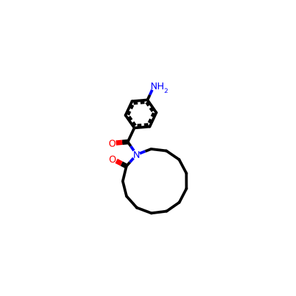 Nc1ccc(C(=O)N2CCCCCCCCCCCC2=O)cc1